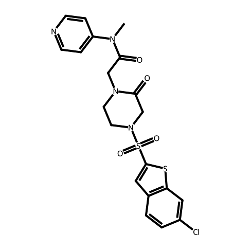 CN(C(=O)CN1CCN(S(=O)(=O)c2cc3ccc(Cl)cc3s2)CC1=O)c1ccncc1